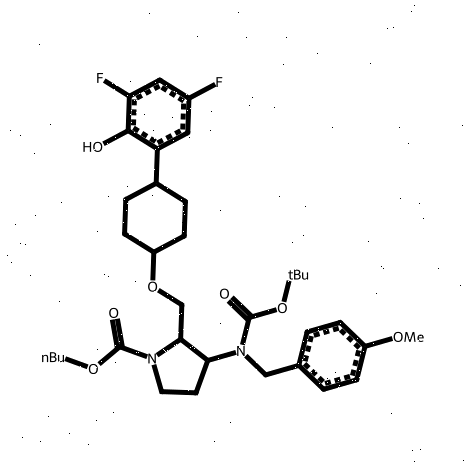 CCCCOC(=O)N1CCC(N(Cc2ccc(OC)cc2)C(=O)OC(C)(C)C)C1COC1CCC(c2cc(F)cc(F)c2O)CC1